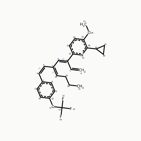 C=C\C(=C/C(/C=C\c1ccc(OC(F)(F)F)cc1)=C\CCC)c1ccc(OC)c(C2CC2)n1